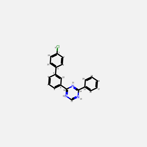 Clc1ccc(-c2cccc(-c3ncnc(-c4ccccc4)n3)c2)cc1